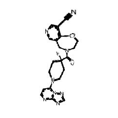 N#Cc1cncc2c1OCCN(C(=O)C1(F)CCN(c3ccnc4ncnn34)CC1)C2